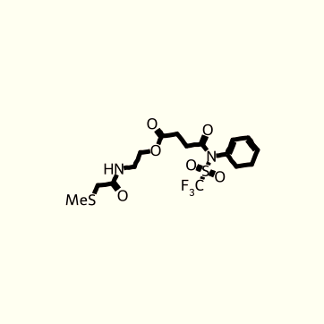 CSCC(=O)NCCOC(=O)CCC(=O)N(C1=CC=CCC1)S(=O)(=O)C(F)(F)F